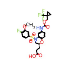 COc1cc(S(=O)(=O)N2C[C@H](CCC(=O)O)Oc3ccc(NC(=O)OCC4(C(F)(F)F)CC4)cc32)ccc1F